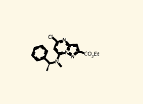 CCOC(=O)c1cc2nc(Cl)cc(N(C)[C@@H](C)c3ccccc3)n2n1